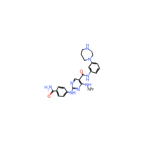 CCCNc1nc(Nc2ccc(C(N)=O)cc2)ncc1C(=O)Nc1cccc(N2CCCNCC2)c1